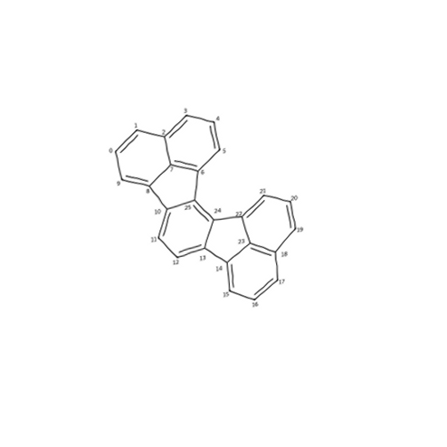 c1cc2cccc3c2c(c1)c1ccc2c4cccc5cccc(c54)c2c13